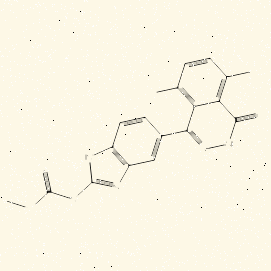 COC(=O)Nc1nc2cc(-c3n[nH]c(=O)c4c(F)ccc(F)c34)ccc2[nH]1